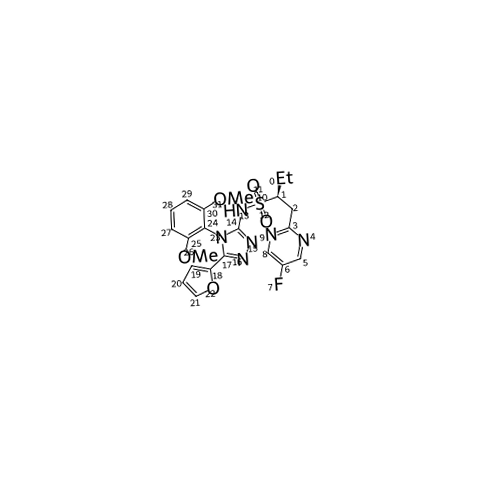 CC[C@@H](Cc1ncc(F)cn1)S(=O)(=O)Nc1nnc(-c2ccco2)n1-c1c(OC)cccc1OC